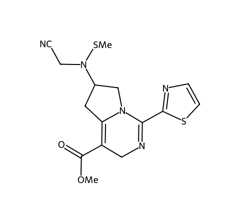 COC(=O)C1=C2CC(N(CC#N)SC)CN2C(c2nccs2)=NC1